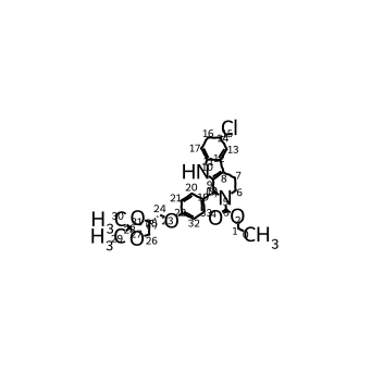 CCOC(=O)N1CCc2c([nH]c3c2=CC(Cl)CC=3)[C@@H]1c1ccc(OC[C@@H]2COC(C)(C)O2)cc1